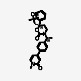 C[C@@H](c1ccc(-c2ccn(C)c(=O)c2)cc1)N1CC[C@](CC(C)(C)O)(C2=CC=CCC2)OC1=O